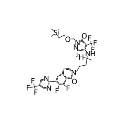 [2H]C(C)(CCCn1ccc2cc(-c3ncc(C(F)(F)F)cn3)c(F)c(F)c2c1=O)Nc1cnn(COCC[Si](C)(C)C)c(=O)c1C(F)(F)F